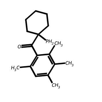 Cc1cc(C)c(C(=O)C2(P)CCCCC2)c(C)c1C